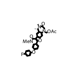 CNC(=O)c1c(-c2ccc(Oc3ccc(F)cc3)cc2)oc2cc3c(cc12)[C@H](C)N(C)C(=O)CN3COC(C)=O